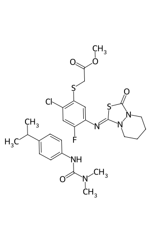 CC(C)c1ccc(NC(=O)N(C)C)cc1.COC(=O)CSc1cc(/N=c2\sc(=O)n3n2CCCC3)c(F)cc1Cl